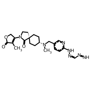 CC1=C(N2CC[C@]3(CC[C@@H](N(C)Cc4ccc(N/N=C\N=N)nc4)CC3)C2=O)COC1=O